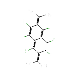 N#CC(C#N)=C(CF)/C(F)=c1/c(F)c(F)c(=C(C#N)C#N)c(F)c1CF